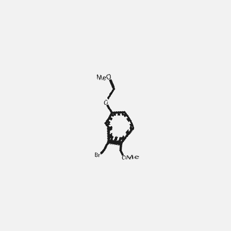 COCOc1ccc(OC)c(Br)c1